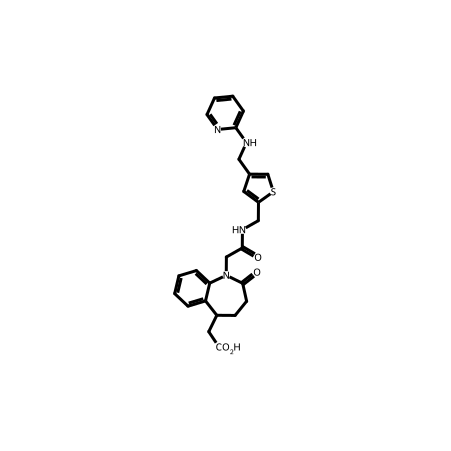 O=C(O)CC1CCC(=O)N(CC(=O)NCc2cc(CNc3ccccn3)cs2)c2ccccc21